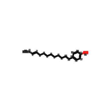 CCCCCCC=CCCCCCCCCCc1ccc(O)cc1